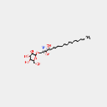 CCCCCCCCCCCCCC[C@@H](O)[C@@H](O)[C@@H](N)COC1OC(CO)C(O)C(O)C1O